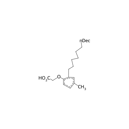 CCCCCCCCCCCCCCCCc1cc(C)ccc1OCC(=O)O